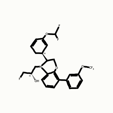 O[C@H](CF)CN1c2cccc(-c3cccc(OC(F)(F)F)c3)c2OCC1[C@@H]1C=C(OC(F)F)C=CC1